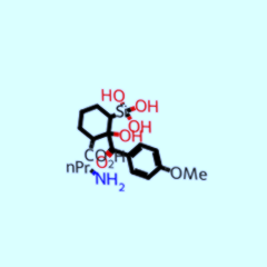 CCCN.COc1ccc(C(=O)C2(O)C(C(=O)O)CCCC2[Si](O)(O)O)cc1